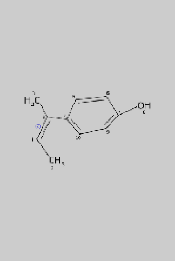 C/C=C(/C)c1ccc(O)cc1